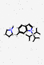 CC(C)[Si](C(C)C)(C(C)C)n1ccc2ccc(C[C@@H]3CCCN3C)cc21